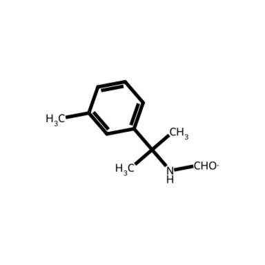 Cc1cccc(C(C)(C)N[C]=O)c1